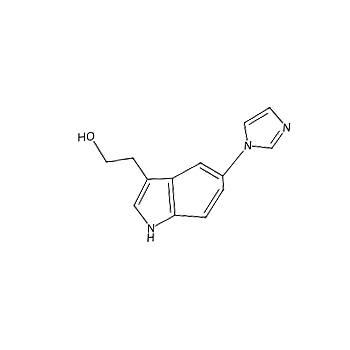 OCCc1c[nH]c2ccc(-n3ccnc3)cc12